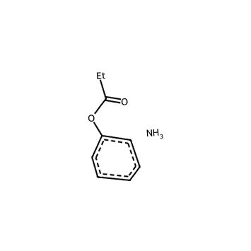 CCC(=O)Oc1ccccc1.N